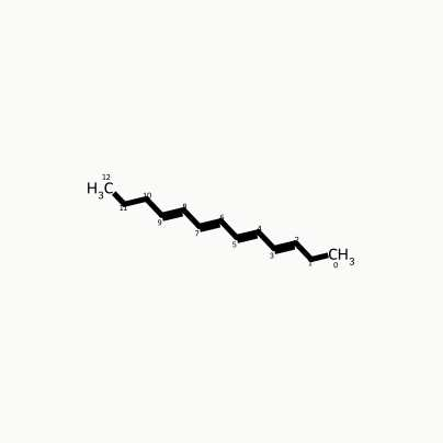 CCC=CC=CC=CC=CCCC